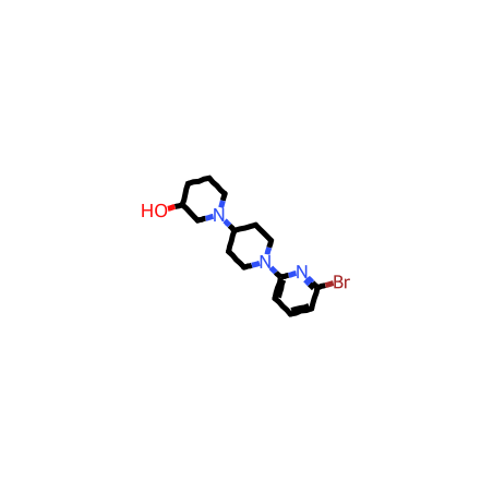 OC1CCCN(C2CCN(c3cccc(Br)n3)CC2)C1